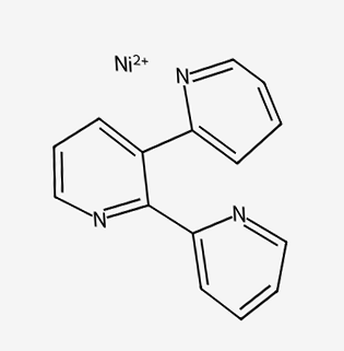 [Ni+2].c1ccc(-c2cccnc2-c2ccccn2)nc1